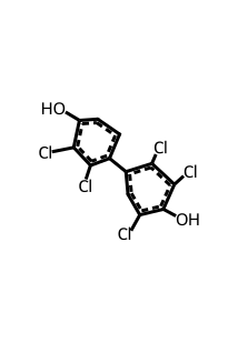 Oc1ccc(-c2cc(Cl)c(O)c(Cl)c2Cl)c(Cl)c1Cl